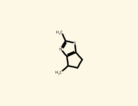 Cc1nc2c(s1)CCC2C